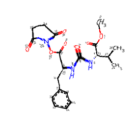 COC(=O)[C@@H](NC(=O)N[C@@H](Cc1ccccc1)C(=O)ON1C(=O)CCC1=O)C(C)C